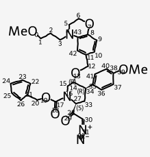 COCCCN1CCOc2ccc(CO[C@H]3CN(C(=O)OCc4ccccc4)[C@H](C(=O)C=[N+]=[N-])C[C@@H]3c3ccc(OC)cc3)cc21